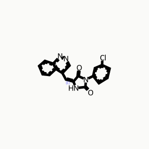 O=C1N/C(=C/c2cnnc3ccccc23)C(=O)N1c1cccc(Cl)c1